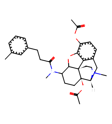 CC(=O)Oc1ccc2c3c1OC1C(N(C)C(=O)CCc4cccc(C)c4)CC[C@@]4(OC(C)=O)[C@@H](C2)N(C)CC[C@]314